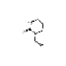 O=C1NCCCN1CS